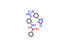 N=C(c1cccc(NC(=O)[C@@H](O)c2ccccc2)c1)c1cc(-c2nc[nH]n2)ccc1N